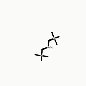 C[Si](C)(C)C[AsH]C[Si](C)(C)C